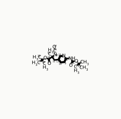 CC(C)(C)OC(=O)Nc1ccc(C[C@](C)(N=C=O)C(=O)OC(C)(C)C)cn1